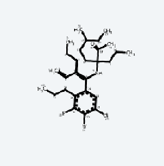 C=C/C(CCC)=C(/NC(CCC)(CCC(C)CC)C(C)=O)c1cc(Cl)c(Br)c(F)c1CCC